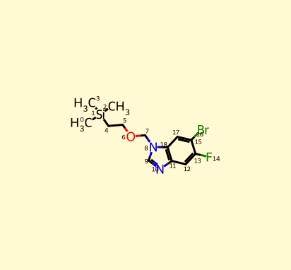 C[Si](C)(C)CCOCn1cnc2cc(F)c(Br)cc21